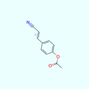 CC(=O)Oc1ccc(/C=C/C#N)cc1